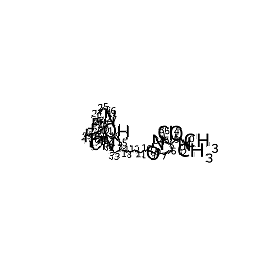 CN(C)C(=O)c1ccc(OCCCCC2CCN(C(=O)C(O)(c3ccccn3)C(F)(F)F)CC2)nc1Cl